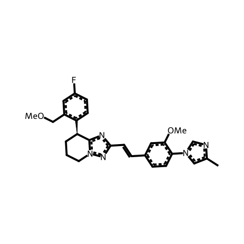 COCc1cc(F)ccc1[C@@H]1CCCn2nc(/C=C/c3ccc(-n4cnc(C)c4)c(OC)c3)nc21